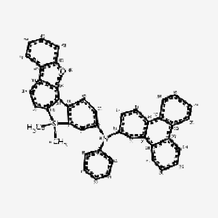 C[Si]1(C)c2cc(N(c3ccccc3)c3ccc4c5ccccc5c5ccccc5c4c3)ccc2-c2c1ccc1c2oc2ccccc21